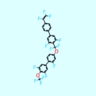 FC(F)=C(F)c1ccc(-c2cc(F)c(C(F)(F)Oc3ccc(-c4cc(F)c(OC(F)(F)F)c(F)c4)c(F)c3)c(F)c2)cc1